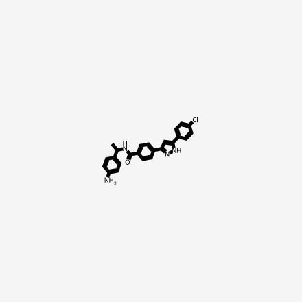 CC(NC(=O)c1ccc(-c2cc(-c3ccc(Cl)cc3)[nH]n2)cc1)c1ccc(N)cc1